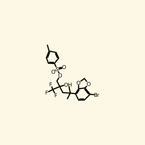 Cc1ccc(S(=O)(=O)OCC(O)(CC(C)(C)c2ccc(Br)c3c2OCO3)C(F)(F)F)cc1